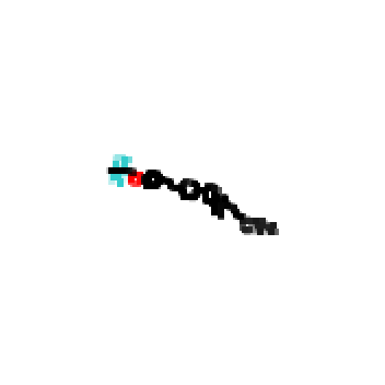 COCCCCC[SiH]1CCC(C2CCC(CCc3ccc(OCC(F)(F)C(C)(F)F)cc3)CC2)CC1